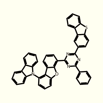 c1ccc(-c2nc(-c3ccc4sc5ccccc5c4c3)nc(-c3cccc4c3oc3cccc(-n5c6ccccc6c6ccccc65)c34)n2)cc1